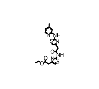 CCOC(=O)Cc1csc(NC(=O)Cc2csc(Nc3cc(C)ccn3)n2)n1